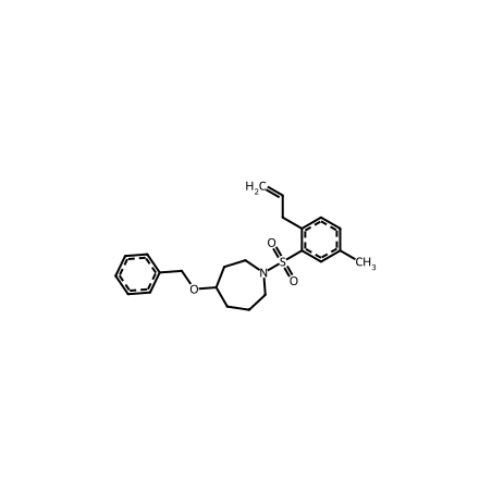 C=CCc1ccc(C)cc1S(=O)(=O)N1CCCC(OCc2ccccc2)CC1